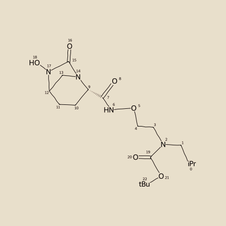 CC(C)CN(CCONC(=O)[C@@H]1CCC2CN1C(=O)N2O)C(=O)OC(C)(C)C